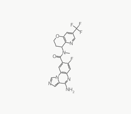 CN(C(=O)c1cc2c(cc1F)nc(N)c1cncn12)C1CCOc2cc(C(F)(F)F)cnc21